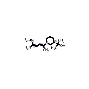 C=N/C(N)=C\C=C(/C)N1CCC[C@@H](C(C)(C)O)C1